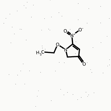 CCON1CC(=O)C=C1[N+](=O)[O-]